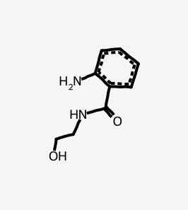 Nc1ccccc1C(=O)NCCO